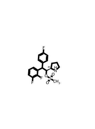 CS(=O)(=O)OC(C(c1ccc(F)cc1)c1cccc(F)c1F)[C@H]1CCCN1